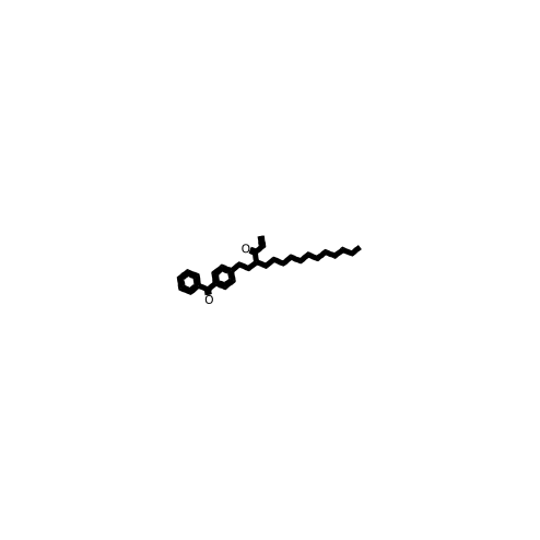 C=CC(=O)C(CCCCCCCCCCCC)CCc1ccc(C(=O)c2ccccc2)cc1